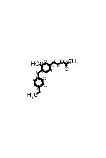 CCc1ccc(Cc2ccc(CCOC(C)=O)cc2O)cc1